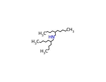 CCCCCC(CCCC)CNCC(CCCC)CCCCC